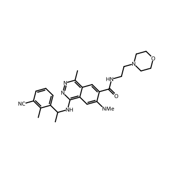 CNc1cc2c(NC(C)c3cccc(C#N)c3C)nnc(C)c2cc1C(=O)NCCN1CCOCC1